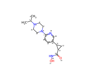 CC(C)N1CCN(c2ccc(C3CC3C(=O)NO)cn2)CC1